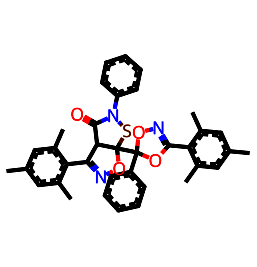 Cc1cc(C)c(C2=NOC(c3ccccc3)(C34ON=C(c5c(C)cc(C)cc5C)C3C(=O)N(c3ccccc3)S4)O2)c(C)c1